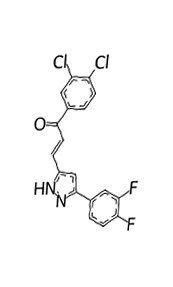 O=C(C=Cc1cc(-c2ccc(F)c(F)c2)n[nH]1)c1ccc(Cl)c(Cl)c1